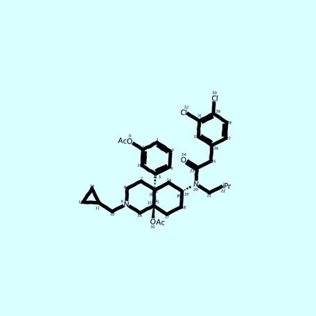 CC(=O)Oc1cccc([C@@]23CCN(CC4CC4)C[C@@]2(OC(C)=O)CC[C@@H](N(CC(C)C)C(=O)Cc2ccc(Cl)c(Cl)c2)C3)c1